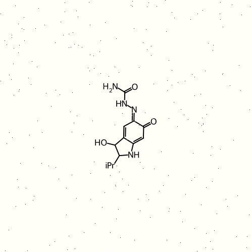 CC(C)C1NC2=CC(=O)C(=NNC(N)=O)C=C2C1O